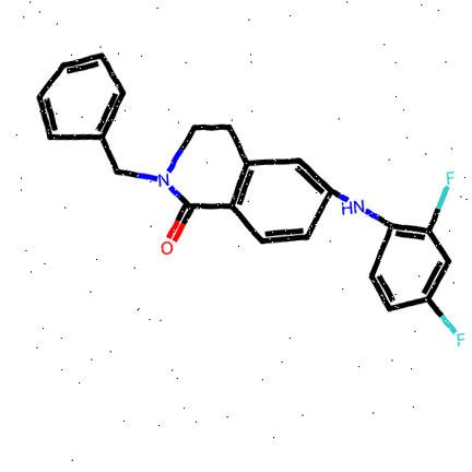 O=C1c2ccc(Nc3ccc(F)cc3F)cc2CCN1Cc1ccccc1